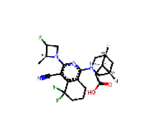 C[C@H]1C(F)CN1c1nc(N2C[C@H]3C[C@@H](C2)[C@@H]3CC(=O)O)c2c(c1C#N)C(F)(F)CCC2